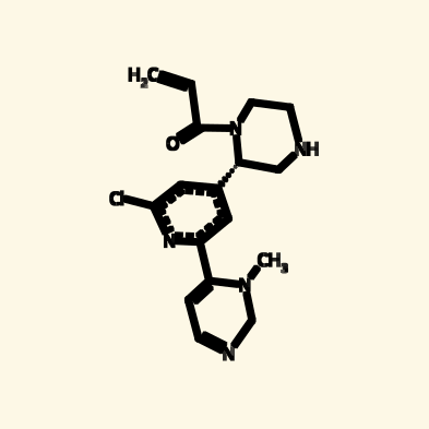 C=CC(=O)N1CCNC[C@@H]1c1cc(Cl)nc(C2=CC=NCN2C)c1